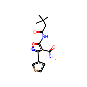 CC(C)(C)CC(=O)Nc1onc(-c2ccsc2)c1C(N)=O